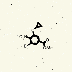 COC(=O)c1cc(Br)c([N+](=O)[O-])c(OC2CC2)c1